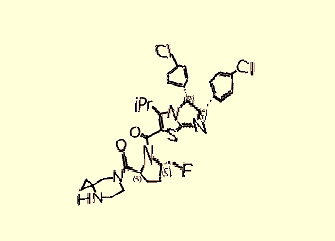 CC(C)C1=C(C(=O)N2[C@H](CF)CC[C@H]2C(=O)N2CCNC3(CC3)C2)SC2=N[C@@H](c3ccc(Cl)cc3)[C@@H](c3ccc(Cl)cc3)N21